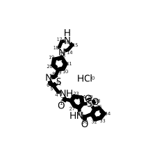 Cl.O=C(NCc1cnc(-c2ccc(N3CCNCC3)cc2)s1)c1ccc2c(c1)NC(=O)c1ccccc1S2(=O)=O